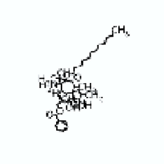 CCCCCCCCCCCC(=O)O[C@@]12C[C@@H](C)[C@]34C=C(C)[C@H](O)[C@@]3(O)[C@H](O)C(COC(=O)c3ccccc3)=C[C@H](C4O)[C@]1(N)C2(C)C